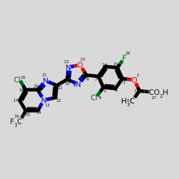 CC(Oc1cc(Cl)c(-c2nc(-c3cn4cc(C(F)(F)F)cc(Cl)c4n3)no2)cc1F)C(=O)O